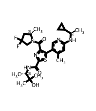 Cc1cc(N[C@H](C)C2CC2)ncc1-c1sc(C(=O)N[C@@H](C)C(C)(C)O)nc1C(=O)N1CC(F)(F)C[C@@H]1C